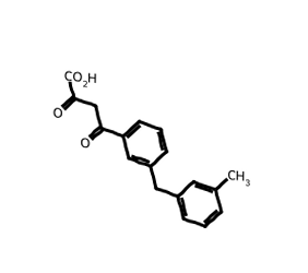 Cc1cccc(Cc2cccc(C(=O)CC(=O)C(=O)O)c2)c1